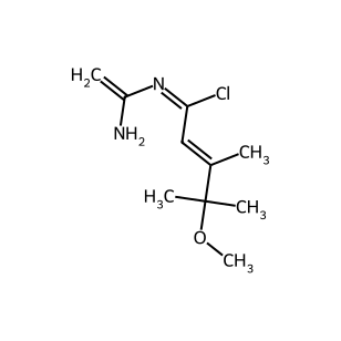 C=C(N)/N=C(Cl)\C=C(/C)C(C)(C)OC